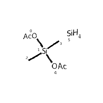 CC(=O)O[Si](C)(C)OC(C)=O.[SiH4]